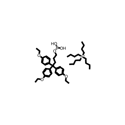 CCCC[N+](CCCC)(CCCC)CCCC.CCOc1ccc(C(CCCOB(O)O)(c2ccc(OCC)cc2)c2ccc(OCC)cc2)cc1